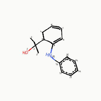 CC(C)(O)C1CC=CC=C1Nc1ccccc1